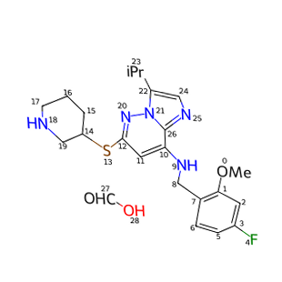 COc1cc(F)ccc1CNc1cc(SC2CCCNC2)nn2c(C(C)C)cnc12.O=CO